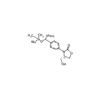 CCCCCC(O[Si](C)(C)C(C)(C)C)c1ccc(N2C(=O)OC[C@@H]2CO)cc1